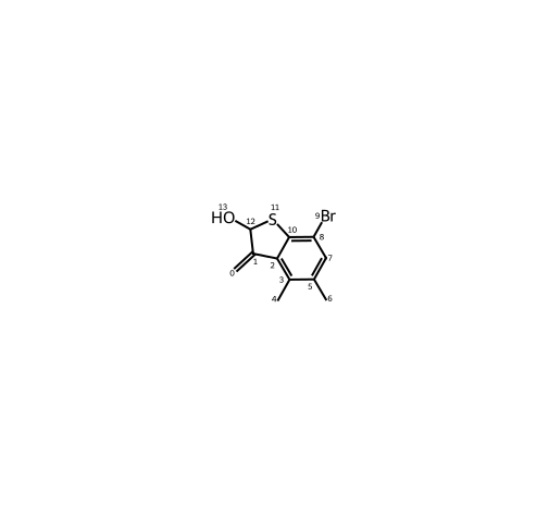 C=C1c2c(C)c(C)cc(Br)c2SC1O